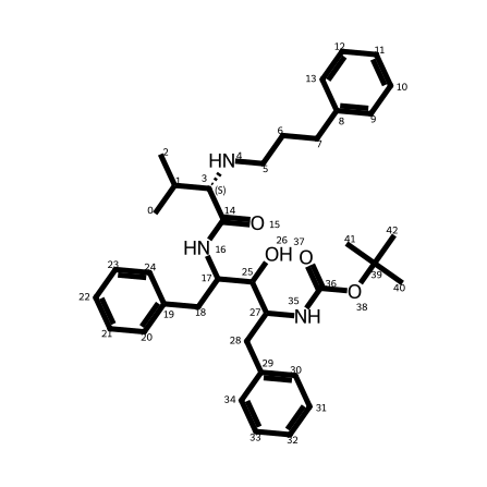 CC(C)[C@H](NCCCc1ccccc1)C(=O)NC(Cc1ccccc1)C(O)C(Cc1ccccc1)NC(=O)OC(C)(C)C